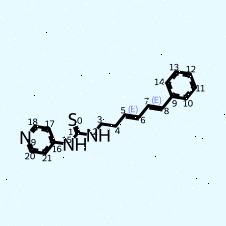 S=C(NCC/C=C/C=C/c1ccccc1)Nc1ccncc1